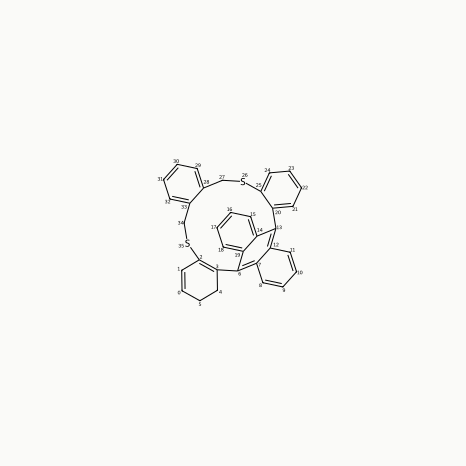 C1=CC2=C(CC1)c1c3ccccc3c(c3ccccc13)-c1ccccc1SCc1ccccc1CS2